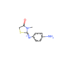 CN1C(=O)CS/C1=N/c1ccc(N)cc1